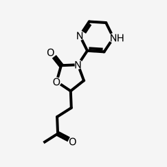 CC(=O)CCC1CN(C2=CNCC=N2)C(=O)O1